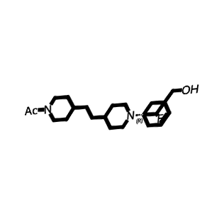 CC(=O)N1CCC(CCC2CCN([C@]34CC=CC(CO)(C3)C4F)CC2)CC1